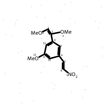 CO/C=C(/OC)c1cc(C=C[N+](=O)[O-])cc(OC)c1